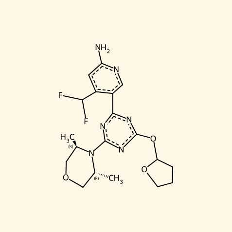 C[C@@H]1COC[C@@H](C)N1c1nc(OC2CCCO2)nc(-c2cnc(N)cc2C(F)F)n1